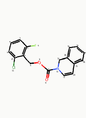 O=C(OCc1c(F)cccc1Cl)N1C=Cc2ccccc2C1